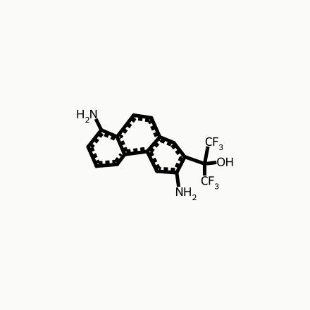 Nc1cc2c(ccc3c(N)cccc32)cc1C(O)(C(F)(F)F)C(F)(F)F